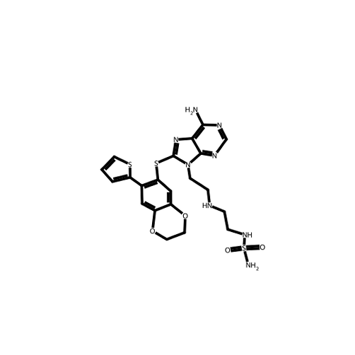 Nc1ncnc2c1nc(Sc1cc3c(cc1-c1cccs1)OCCO3)n2CCNCCNS(N)(=O)=O